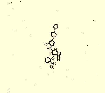 COC(=O)c1ccccc1Sc1nc(Nc2ccc(N3CCC(N4CCCC4)CC3)cc2OC)nc2cc[nH]c12